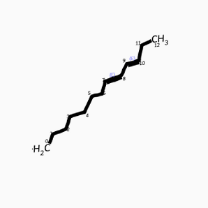 [CH2]CCCCCC/C=C/C=C/CC